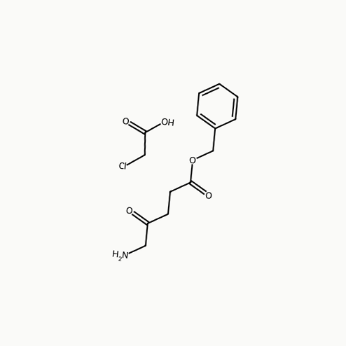 NCC(=O)CCC(=O)OCc1ccccc1.O=C(O)CCl